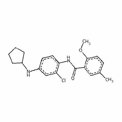 COc1ccc(C)cc1C(=O)Nc1ccc(NC2CCCC2)cc1Cl